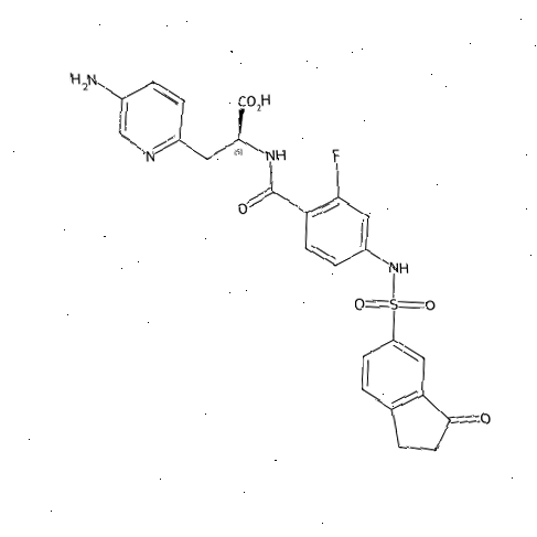 Nc1ccc(C[C@H](NC(=O)c2ccc(NS(=O)(=O)c3ccc4c(c3)C(=O)CC4)cc2F)C(=O)O)nc1